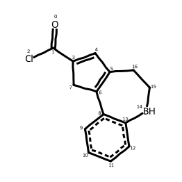 O=C(Cl)C1=CC2=C(C1)c1ccccc1BCC2